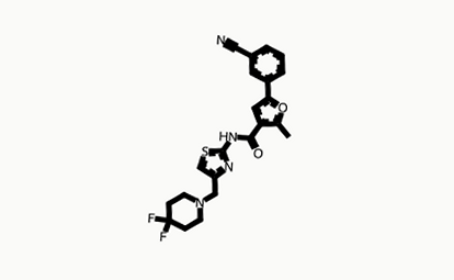 Cc1oc(-c2cccc(C#N)c2)cc1C(=O)Nc1nc(CN2CCC(F)(F)CC2)cs1